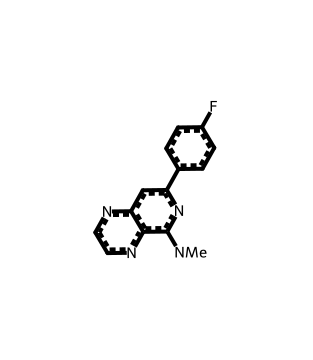 CNc1nc(-c2ccc(F)cc2)cc2nccnc12